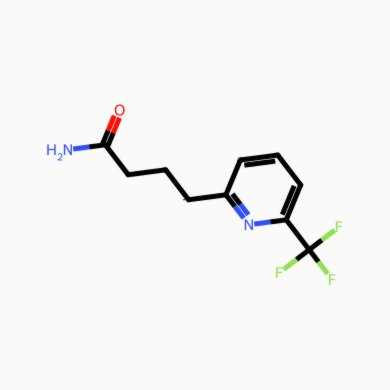 NC(=O)CC[CH]c1cccc(C(F)(F)F)n1